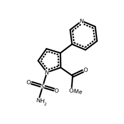 COC(=O)c1c(-c2cccnc2)ccn1S(N)(=O)=O